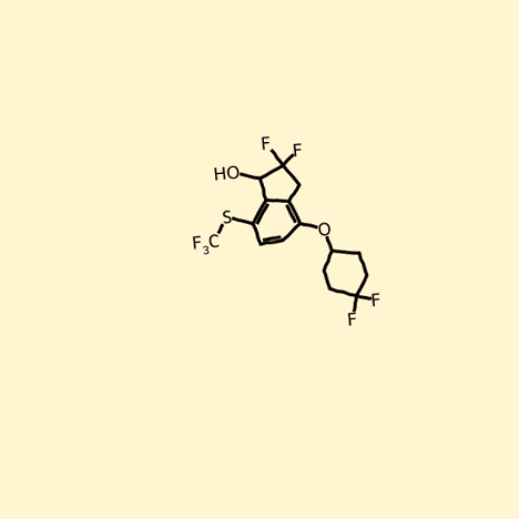 OC1c2c(SC(F)(F)F)ccc(OC3CCC(F)(F)CC3)c2CC1(F)F